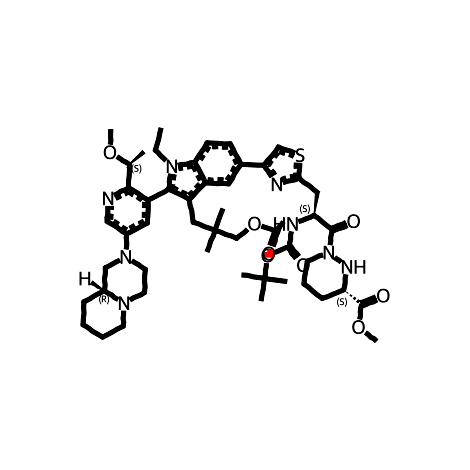 CCn1c(-c2cc(N3CCN4CCCC[C@@H]4C3)cnc2[C@H](C)OC)c(CC(C)(C)COC(C)=O)c2cc(-c3csc(C[C@H](NC(=O)OC(C)(C)C)C(=O)N4CCC[C@@H](C(=O)OC)N4)n3)ccc21